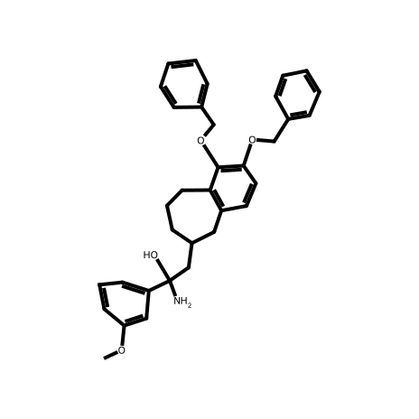 COc1cccc(C(N)(O)CC2CCCc3c(ccc(OCc4ccccc4)c3OCc3ccccc3)C2)c1